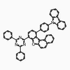 c1ccc(-c2nc(-c3ccccc3)nc(-c3ccc(-c4ccc(-n5c6ccccc6c6ccccc65)cc4)c4c3oc3ccc5ccccc5c34)n2)cc1